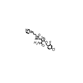 NC(=O)c1c(OCc2ccc(Cl)cc2F)nsc1NC(=O)NCCCn1ccnc1